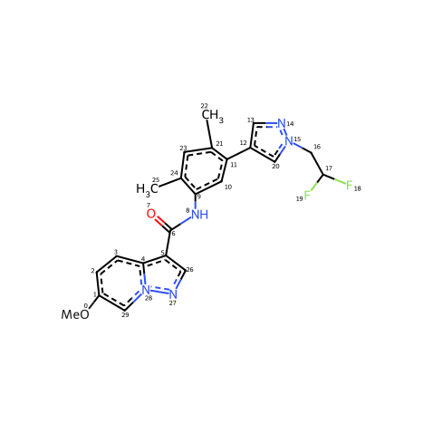 COc1ccc2c(C(=O)Nc3cc(-c4cnn(CC(F)F)c4)c(C)cc3C)cnn2c1